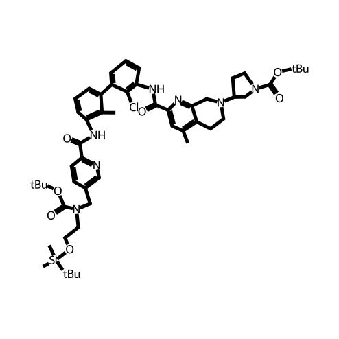 Cc1cc(C(=O)Nc2cccc(-c3cccc(NC(=O)c4ccc(CN(CCO[Si](C)(C)C(C)(C)C)C(=O)OC(C)(C)C)cn4)c3C)c2Cl)nc2c1CCN(C1CCN(C(=O)OC(C)(C)C)C1)C2